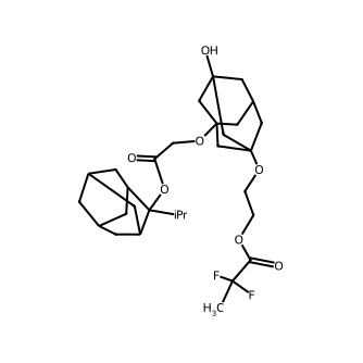 CC(C)C1(OC(=O)COC23CC4CC(O)(CC(OCCOC(=O)C(C)(F)F)(C4)C2)C3)C2CC3CC(C2)CC1C3